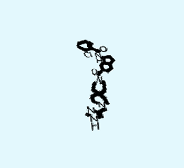 O=C(NC1CCc2ccc(C(=O)N3CCC4(CCN(Cc5c[nH]cn5)CC4)CC3)cc21)c1ccccc1Cl